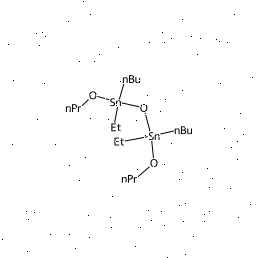 CCC[CH2][Sn]([CH2]C)([O]CCC)[O][Sn]([CH2]C)([CH2]CCC)[O]CCC